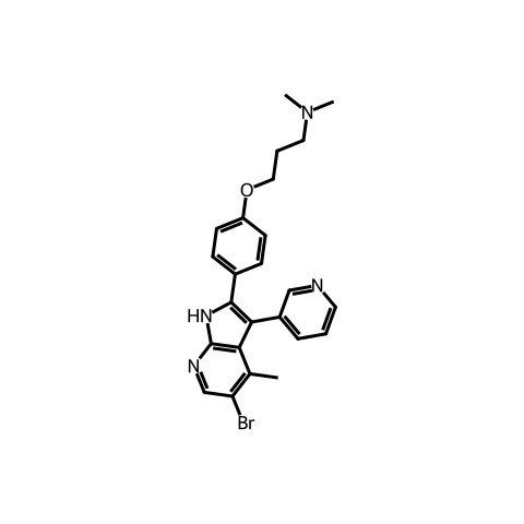 Cc1c(Br)cnc2[nH]c(-c3ccc(OCCCN(C)C)cc3)c(-c3cccnc3)c12